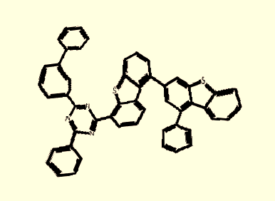 c1ccc(-c2cccc(-c3nc(-c4ccccc4)nc(-c4cccc5c4sc4cccc(-c6cc(-c7ccccc7)c7c(c6)sc6ccccc67)c45)n3)c2)cc1